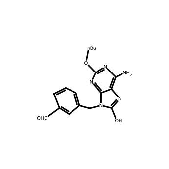 CCCCOc1nc(N)c2nc(O)n(Cc3cccc(C=O)c3)c2n1